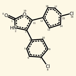 O=c1[nH]c(-c2ccc(Cl)cc2)c(-c2ccc(Cl)cc2)o1